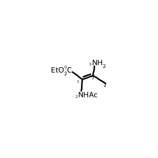 CCOC(=O)/C(NC(C)=O)=C(/C)N